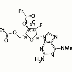 CCC(=O)OC[C@H]1O[C@@H](n2cnc3c(NC)nc(N)nc32)[C@](C)(F)[C@@H]1OC(=O)C(C)C